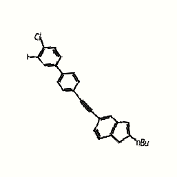 CCCCC1=Cc2cc(C#Cc3ccc(-c4ccc(Cl)c(I)c4)cc3)ccc2C1